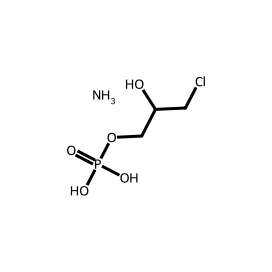 N.O=P(O)(O)OCC(O)CCl